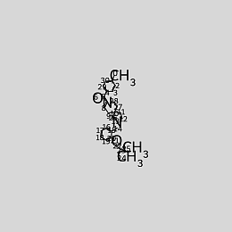 Cc1ccc(C(=O)N2CCC3(CCN(Cc4ccccc4OCC(C)C)C3)CC2)cc1